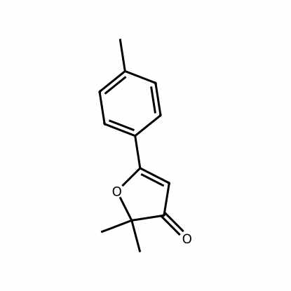 Cc1ccc(C2=CC(=O)C(C)(C)O2)cc1